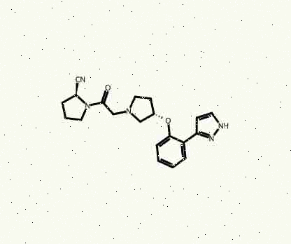 N#C[C@@H]1CCCN1C(=O)CN1CC[C@H](Oc2ccccc2-c2cc[nH]n2)C1